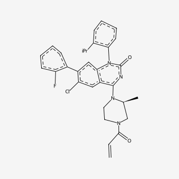 C=CC(=O)N1CCN(c2nc(=O)n(-c3ccccc3C(C)C)c3cc(-c4ccccc4F)c(Cl)cc23)[C@@H](C)C1